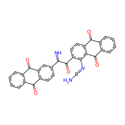 N=C(C(=O)c1ccc2c(c1N=BN)C(=O)c1ccccc1C2=O)c1ccc2c(c1)C(=O)c1ccccc1C2=O